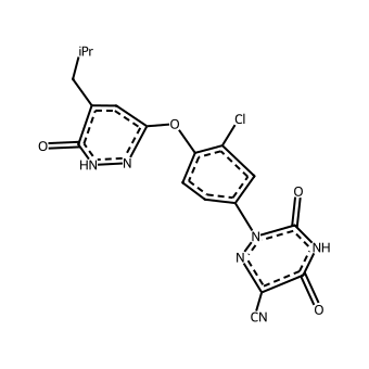 CC(C)Cc1cc(Oc2ccc(-n3nc(C#N)c(=O)[nH]c3=O)cc2Cl)n[nH]c1=O